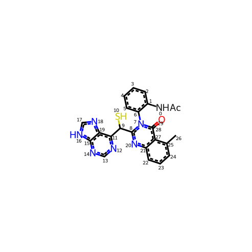 CC(=O)Nc1ccccc1-n1c(C(S)c2ncnc3[nH]cnc23)nc2cccc(C)c2c1=O